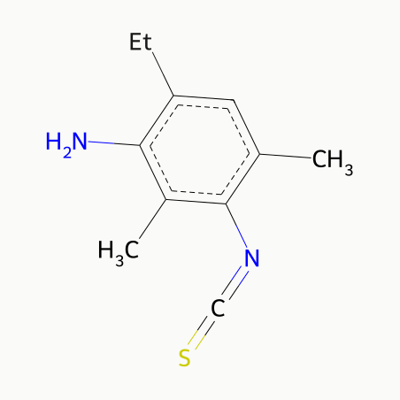 CCc1cc(C)c(N=C=S)c(C)c1N